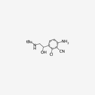 CC(C)(C)NCC(O)c1ccc(N)c(C#N)c1Cl